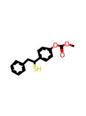 COC(=O)Oc1ccc(C(S)Cc2ccccc2)cc1